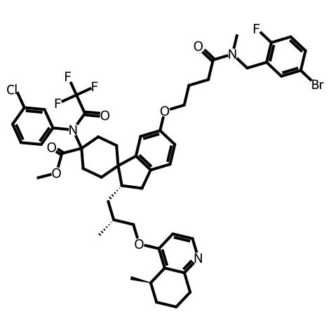 COC(=O)C1(N(C(=O)C(F)(F)F)c2cccc(Cl)c2)CCC2(CC1)c1cc(OCCCC(=O)N(C)Cc3cc(Br)ccc3F)ccc1C[C@@H]2C[C@@H](C)COc1ccnc2c1[C@H](C)CCC2